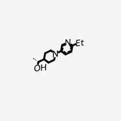 CCc1ccc(N2CCC([C@@H](C)O)CC2)cn1